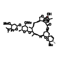 CCC(C)[C@H]1O[C@]2(C=C[C@@H]1C)C[C@@H]1C[C@@H](C/C=C(\C)[C@@H](OC3C[C@H](OC)[C@@H](OC(C[C@@H](CN(C)C)OC)OC(C)C)[C@H](C)O3)C(C)/C=C/C=C3\CO[C@@H]4[C@H](O)C(C)=C[C@@H](C(=O)O1)[C@]34O)O2